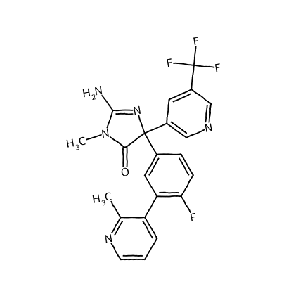 Cc1ncccc1-c1cc(C2(c3cncc(C(F)(F)F)c3)N=C(N)N(C)C2=O)ccc1F